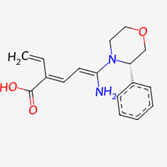 C=C/C(=C\C=C(/N)N1CCOC[C@@H]1c1ccccc1)C(=O)O